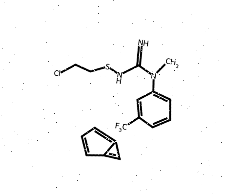 CN(C(=N)NSCCCl)c1cccc(C(F)(F)F)c1.c1cc2cc-2c1